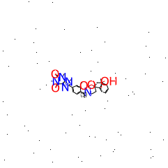 C[C@@H](c1ccc(-c2nc3c(=O)n(C)c(=O)n(C)c3n2C)cc1)N1CCC(CC(C)(C)O)(c2ccccc2)OC1=O